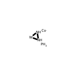 P.[Co].[NH]1[NH][W]1